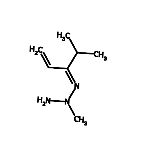 C=C/C(=N\N(C)N)C(C)C